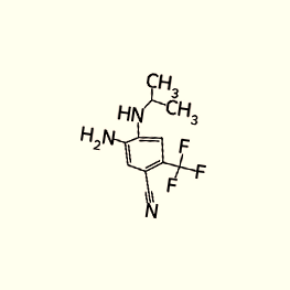 CC(C)Nc1cc(C(F)(F)F)c(C#N)cc1N